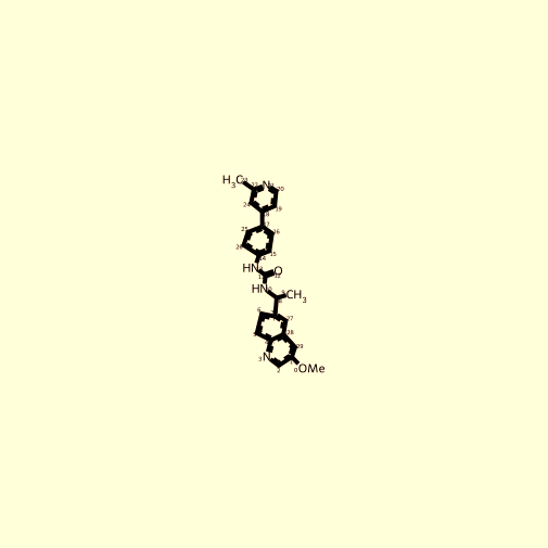 COc1cnc2ccc(C(C)NC(=O)Nc3ccc(-c4ccnc(C)c4)cc3)cc2c1